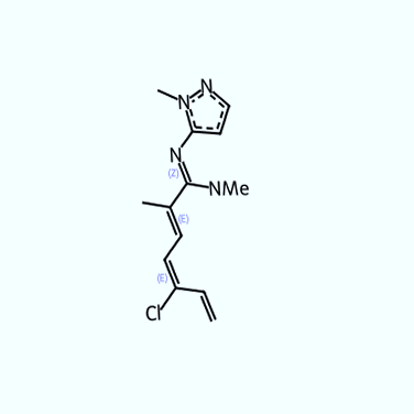 C=C\C(Cl)=C/C=C(C)/C(=N/c1ccnn1C)NC